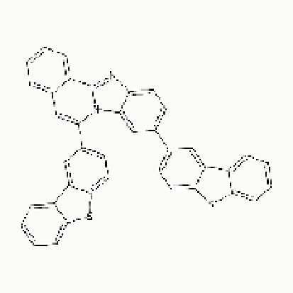 c1ccc2c(c1)cc(-c1ccc3sc4ccccc4c3c1)n1c3cc(-c4ccc5sc6ccccc6c5c4)ccc3nc21